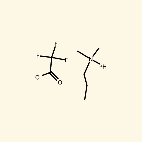 O=C([O-])C(F)(F)F.[2H][N+](C)(C)CCC